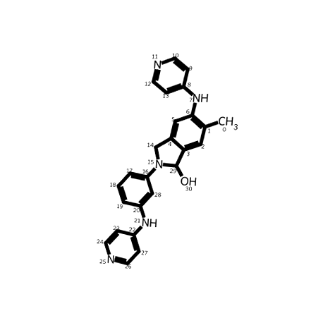 Cc1cc2c(cc1Nc1ccncc1)CN(c1cccc(Nc3ccncc3)c1)C2O